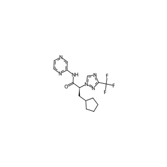 O=C(Nc1cnccn1)[C@H](CC1CCCC1)n1cnc(C(F)(F)F)n1